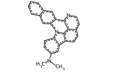 CN(C)c1ccc2c(c1)c1ccc3ccnc4c5cc6ccccc6cc5n2c1c34